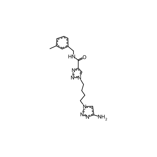 Cc1cccc(CNC(=O)c2cn(CCCCn3cc(N)nn3)nn2)c1